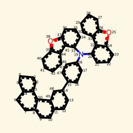 c1ccc2c(c1)ccc1ccc3ccc(-c4ccc(N(c5cccc6oc7ccccc7c56)c5cccc6oc7ccccc7c56)cc4)cc3c12